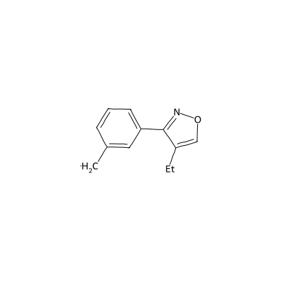 [CH2]c1cccc(-c2nocc2CC)c1